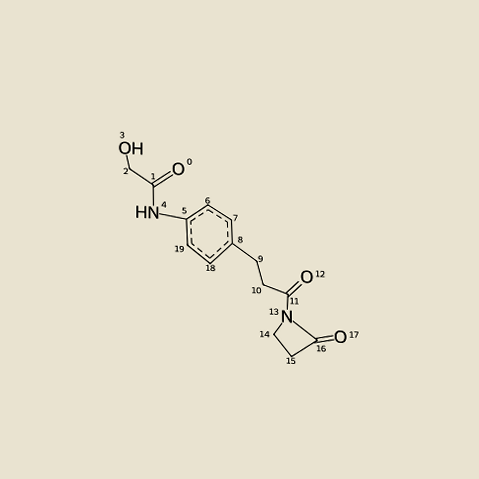 O=C(CO)Nc1ccc(CCC(=O)N2CCC2=O)cc1